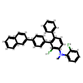 CN(c1ccccc1F)c1ccc(-c2ccccc2)c(-c2ccc(-c3ccc4ccccc4c3)cc2)c1F